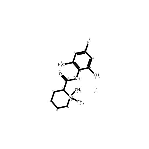 Cc1cc(F)cc(C)c1NC(=O)C1CCCC[N+]1(C)C.[I-]